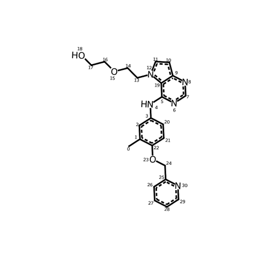 Cc1cc(Nc2ncnc3ccn(CCOCCO)c23)ccc1OCc1ccccn1